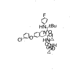 CC(C)(C)[C@H](Nc1ccc(F)cc1)C(=O)N1Cc2ccc(Oc3cccc(Cl)c3)cc2C[C@H]1C(=O)N[C@]1(C(=O)NS(=O)(=O)C2CC2)C[C@H]1I